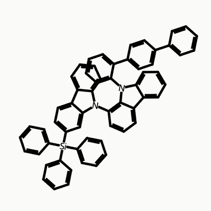 c1ccc(-c2ccc(-c3ccccc3-n3c4ccccc4c4cccc(-n5c6ccccc6c6ccc([Si](c7ccccc7)(c7ccccc7)c7ccccc7)cc65)c43)cc2)cc1